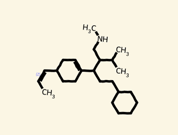 C/C=C\C1CC=C(C(CCC2CCCCC2)C(CNC)C(C)C)CC1